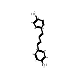 Oc1ccc(/C=C/C=C/c2ccc(O)cc2)cc1